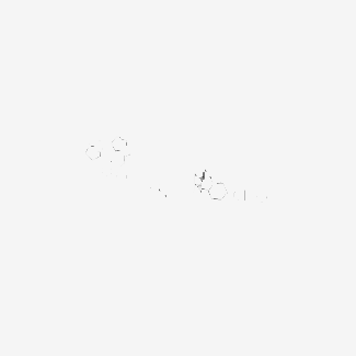 O=Cc1cc2nnn(CCCN3CC4(CCC(OC(=O)C(O)(c5cccs5)c5cccs5)CC4)C3)c2c2c1CCC2